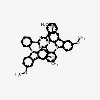 CNc1ccc2c(c1)c1cc(OC)ccc1n2-c1ccccc1-c1nc(-c2ccccc2)nc(-c2ccccc2-n2c3ccc(OC)cc3c3cc(OC)ccc32)n1